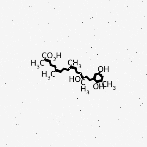 CC(=CCCC(C)=CCCC(C)(O)CCc1cc(O)cc(C)c1O)CCC=C(C)C(=O)O